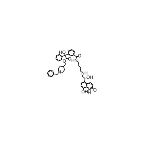 O=C(NCCCCNC[C@H](O)c1ccc(O)c2[nH]c(=O)ccc12)c1cccc(C(O)(C(=O)OCC2CCN(Cc3ccccc3)CC2)c2ccccc2)c1